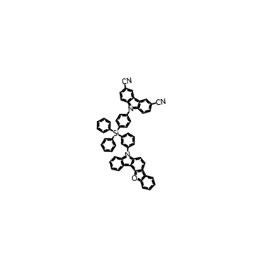 N#Cc1ccc2c(c1)c1cc(C#N)ccc1n2-c1ccc([Si](c2ccccc2)(c2ccccc2)c2cccc(-n3c4ccccc4c4c5oc6ccccc6c5ccc43)c2)cc1